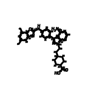 Cc1cc(C)c2oc(Nc3ccc(-c4nn(CCC5CCC(C(=O)O)CC5)c5ncnc(N)c45)cc3)nc2c1